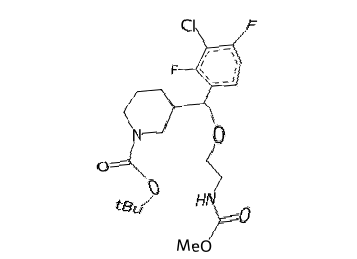 COC(=O)NCCOC(c1ccc(F)c(Cl)c1F)C1CCCN(C(=O)OC(C)(C)C)C1